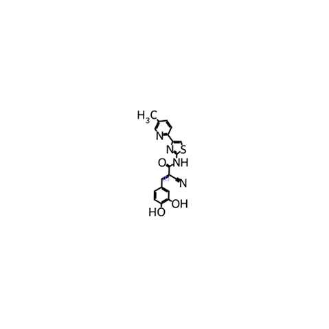 Cc1ccc(-c2csc(NC(=O)/C(C#N)=C/c3ccc(O)c(O)c3)n2)nc1